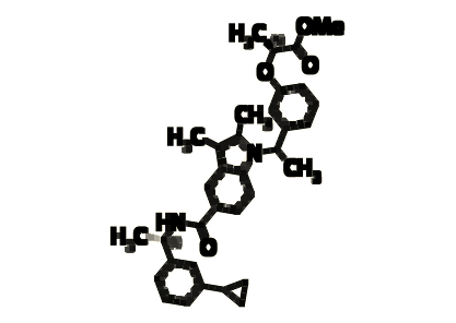 COC(=O)[C@H](C)Oc1cccc(C(C)n2c(C)c(C)c3cc(C(=O)N[C@@H](C)c4cccc(C5CC5)c4)ccc32)c1